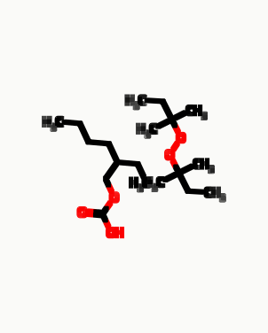 CCC(C)(C)OOC(C)(C)CC.CCCCC(CC)COC(=O)O